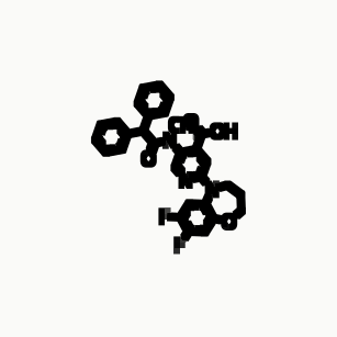 CN(C(=O)C(c1ccccc1)c1ccccc1)c1cnc(N2CCCOc3cc(F)c(F)cc32)cc1C(=O)O